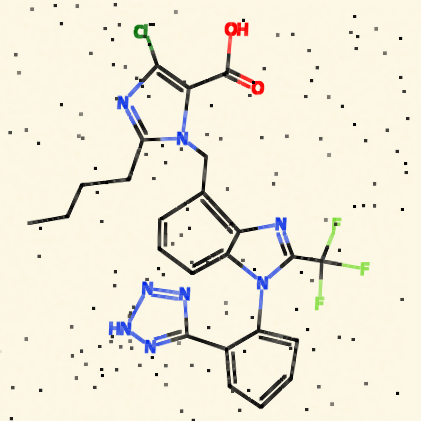 CCCCc1nc(Cl)c(C(=O)O)n1Cc1cccc2c1nc(C(F)(F)F)n2-c1ccccc1-c1nn[nH]n1